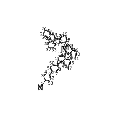 N#Cc1ccc(-c2ccc(-c3ccc(-c4nc(-c5cccc(-c6cc7ccccc7c7ccccc67)c5)nc5ccccc45)c4ccccc34)cc2)cc1